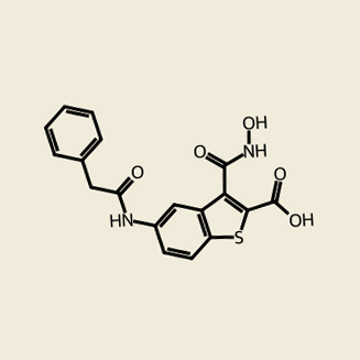 O=C(Cc1ccccc1)Nc1ccc2sc(C(=O)O)c(C(=O)NO)c2c1